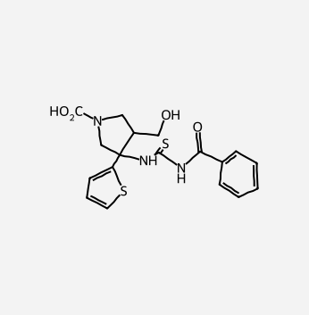 O=C(NC(=S)NC1(c2cccs2)CN(C(=O)O)CC1CO)c1ccccc1